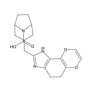 O=C(O)N1C2CCC1CC(Cc1nc3c([nH]1)C1=C(CC3)OC=CO1)C2